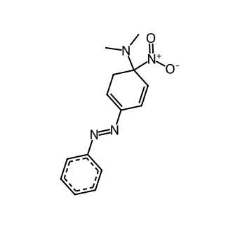 CN(C)C1([N+](=O)[O-])C=CC(N=Nc2ccccc2)=CC1